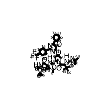 CC[C@@H]1C[C@]1(NC(=O)[C@@H]1C[C@@H](Oc2nc(-c3ccc(C(F)(F)F)cc3)nc3c2oc2ccccc23)CN1C(=O)[C@@H](Nc1nc(C)cs1)C(C)(C)C)C(=O)NS(=O)(=O)C1CC1